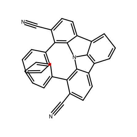 N#Cc1ccc2c3cccc4c5ccc(C#N)c(-c6ccccc6)c5n(c2c1-c1ccccc1)c34